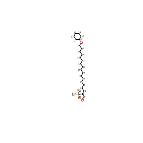 O=[C]C(CCCCCCCCCCCCCCCCOC1CC[CH]CC1)C(Br)(Br)Br